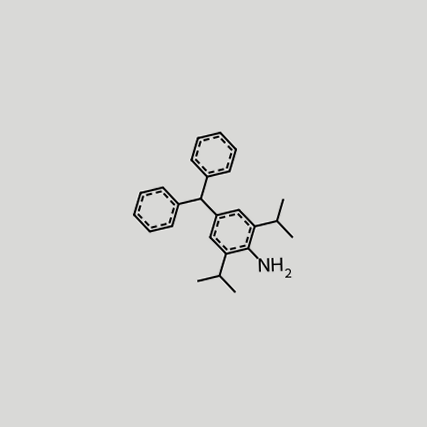 CC(C)c1cc(C(c2ccccc2)c2ccccc2)cc(C(C)C)c1N